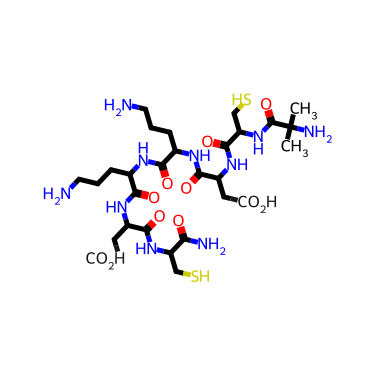 CC(C)(N)C(=O)NC(CS)C(=O)NC(CC(=O)O)C(=O)NC(CCCN)C(=O)NC(CCCN)C(=O)NC(CC(=O)O)C(=O)NC(CS)C(N)=O